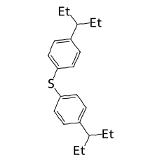 CCC(CC)c1ccc(Sc2ccc(C(CC)CC)cc2)cc1